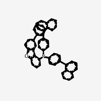 c1ccc(-c2ccc3oc4cccc(N(c5ccc(-c6cccc7ccccc67)cc5)c5ccc(-c6cccc7ccccc67)cc5)c4c3c2)cc1